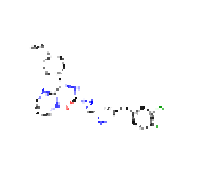 COc1ccc(C(NC(=O)NCC2CC(Cc3ccc(Cl)c(Cl)c3)CN2)c2ncccn2)cc1